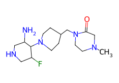 CN1CCN(CC2CCN(C3C(N)CNCC3F)CC2)C(=O)C1